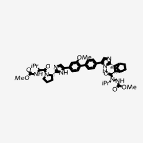 COC(=O)N[C@H](C(=O)N1CCC[C@H]1c1ncc(-c2ccc(-c3ccc(-c4cnc([C@@H]5C6CCC(C6)[C@H]5C(=O)N(NC(=O)OC)C(C)C)[nH]4)cc3)c(OC)c2)[nH]1)C(C)C